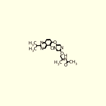 CC(=O)N[C@@H](C)COc1cnc(Oc2ccc3nc(C(C)C)ncc3c2Cl)cn1